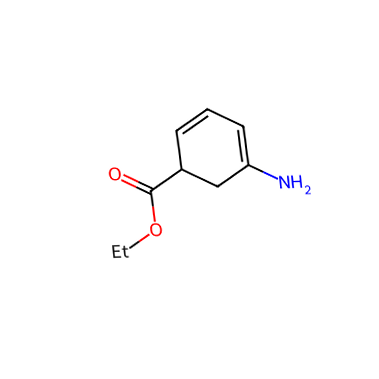 CCOC(=O)C1C=CC=C(N)C1